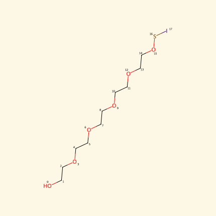 OCCOCCOCCOCCOCCOSI